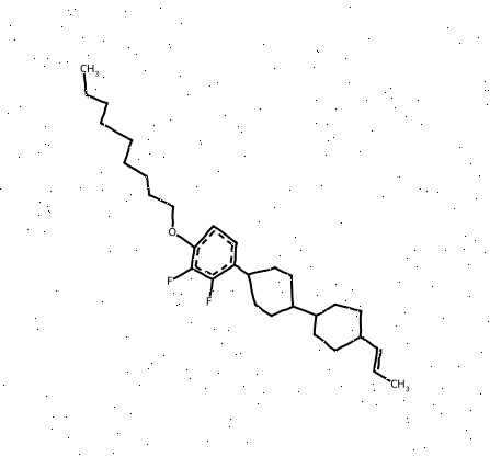 C/C=C/C1CCC(C2CCC(c3ccc(OCCCCCCCCC)c(F)c3F)CC2)CC1